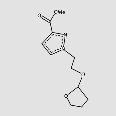 COC(=O)c1ccn(CCOC2CCCO2)n1